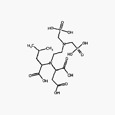 CC(C)CC(C(=O)O)N(CCN(CP(=O)(O)O)CP(=O)(O)O)C(CC(=O)O)C(=O)O